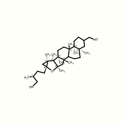 C[C@@H](CC[C@@]12C[C@@]1(C)[C@@]1(C)[C@@]3(C)CC[C@@]4(C)C(CC[C@]5(C)CC(CN=O)CC[C@@]54C)[C@]3(C)C[C@@]1(C)O2)CN=O